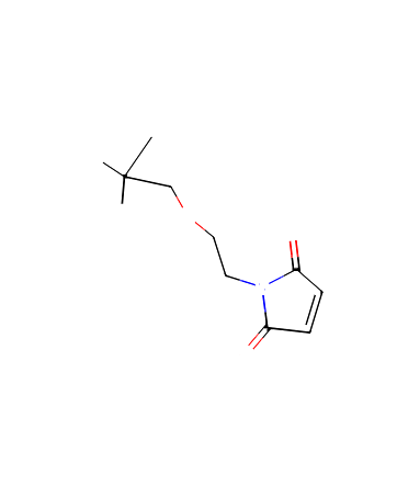 CC(C)(C)COCCN1C(=O)C=CC1=O